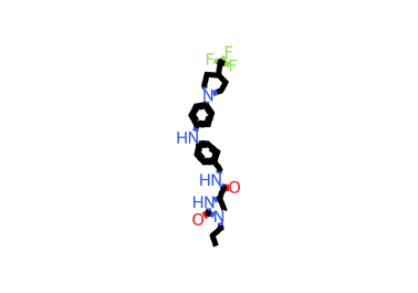 CCCN1CC(C(=O)NCc2ccc(Nc3ccc(N4CCC(C(F)(F)F)CC4)cc3)cc2)NC1=O